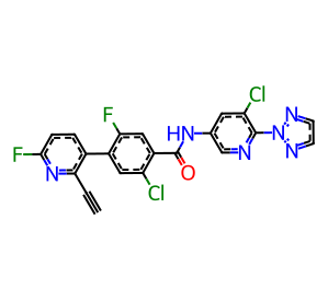 C#Cc1nc(F)ccc1-c1cc(Cl)c(C(=O)Nc2cnc(-n3nccn3)c(Cl)c2)cc1F